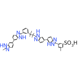 Cc1cc(-c2nc3ccc(-c4ccc5nc(C(C)(C)C(C)(C)c6cccc(-c7nc8ccc(-c9ccc%10nc(C)[nH]c%10c9)cc8[nH]7)c6)[nH]c5c4)cc3[nH]2)cc(S(=O)(=O)O)c1